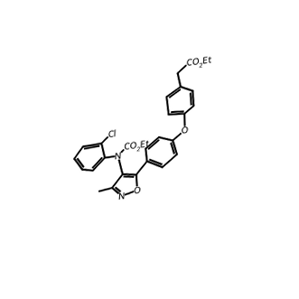 CCOC(=O)Cc1ccc(Oc2ccc(-c3onc(C)c3N(C(=O)OCC)c3ccccc3Cl)cc2)cc1